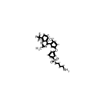 Cc1nc(-c2cc(Oc3cccc(S(=O)(=O)CCCCN)c3)ccc2Cl)c2cccc(C(F)(F)F)c2n1